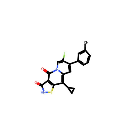 N#Cc1cccc(-c2cc3c(C4CC4)c4s[nH]c(=O)c4c(=O)n3cc2F)c1